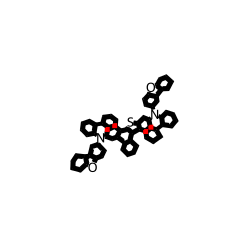 c1ccc(-c2ccccc2N(c2ccc3c(c2)sc2c4ccc(N(c5ccc6oc7ccccc7c6c5)c5ccccc5-c5ccccc5)cc4c4ccccc4c32)c2ccc3oc4ccccc4c3c2)cc1